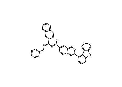 N/C(=N\C(=N/Cc1ccccc1)c1ccc2ccccc2c1)c1ccc2cc(-c3cccc4oc5ccccc5c34)ccc2c1